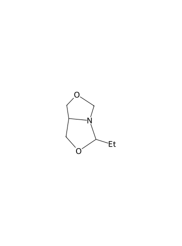 CCC1OCC2COCN21